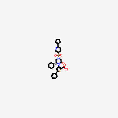 O=C(O)c1sc(-c2ccccc2)cc1N1C(=O)CN(S(=O)(=O)c2ccc(C3=CCCC3)nc2)C[C@H]1C1CCCCC1